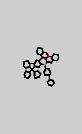 c1ccc(-c2ccc(N(c3ccc4c(c3)CCCC4)c3cc4c(cc3-c3cccc5c3CCCC5)-c3ccccc3C4(c3ccccc3)c3ccccc3)cc2)cc1